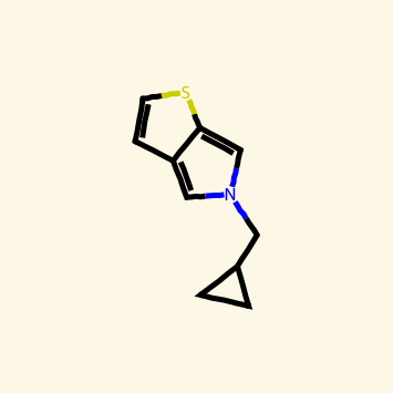 c1cc2cn(CC3CC3)cc2s1